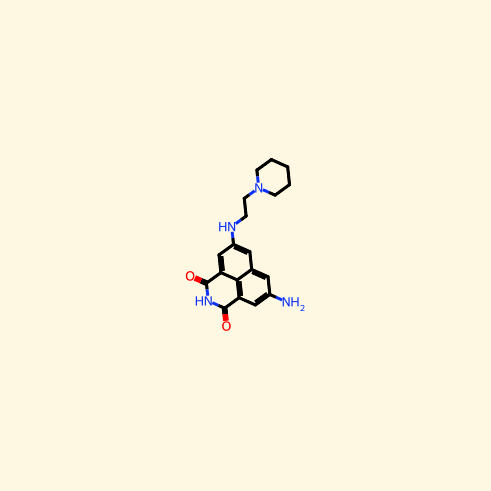 Nc1cc2c3c(cc(NCCN4CCCCC4)cc3c1)C(=O)NC2=O